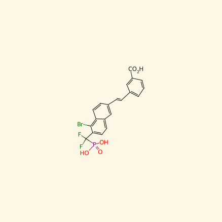 O=C(O)c1cccc(C=Cc2ccc3c(Br)c(C(F)(F)P(=O)(O)O)ccc3c2)c1